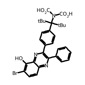 CC(C)(C)C(c1ccc(-c2nc3c(O)c(Br)ccc3nc2-c2ccccc2)cc1)(N(C(=O)O)C(=O)O)C(C)(C)C